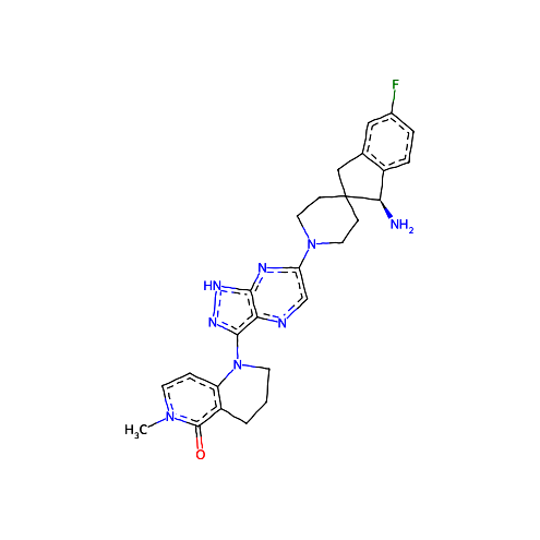 Cn1ccc2c(c1=O)CCCN2c1n[nH]c2nc(N3CCC4(CC3)Cc3cc(F)ccc3[C@H]4N)cnc12